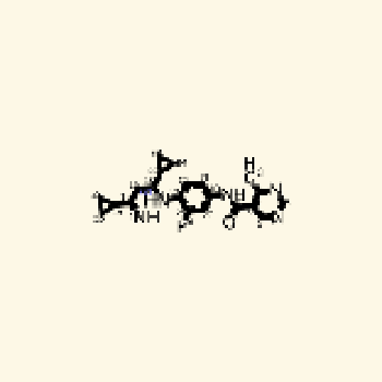 Cc1ncncc1C(=O)Nc1ccc(N/C(=C\C(=N)C2CC2)C2CC2)c(F)c1